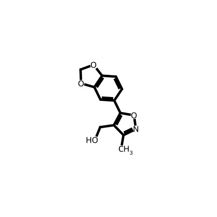 Cc1noc(-c2ccc3c(c2)OCO3)c1CO